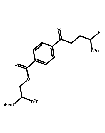 CCCCCC(CCC)COC(=O)c1ccc(C(=O)CCC(CC)CCCC)cc1